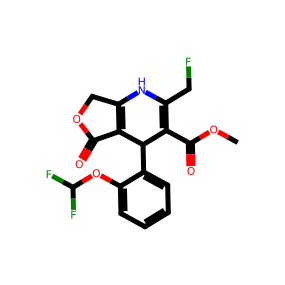 COC(=O)C1=C(CF)NC2=C(C(=O)OC2)C1c1ccccc1OC(F)F